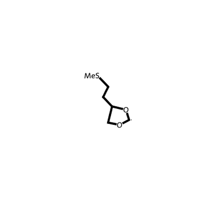 CSCCC1CO[CH]O1